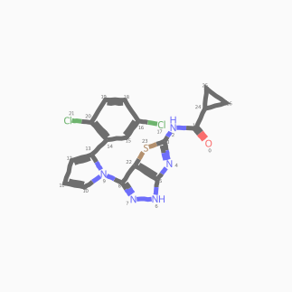 O=C(Nc1nc2[nH]nc(-n3cccc3-c3cc(Cl)ccc3Cl)c2s1)C1CC1